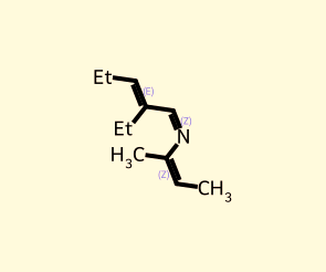 C\C=C(C)/N=C\C(=C\CC)CC